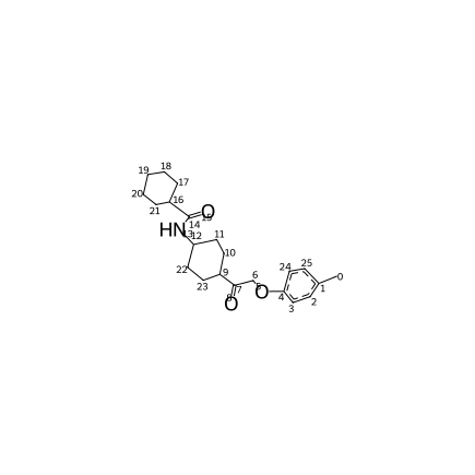 Cc1ccc(OCC(=O)C2CCC(NC(=O)C3CCCCC3)CC2)cc1